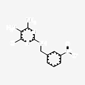 Nc1nc(NCc2cccc([N+](=O)[O-])c2)nc(Cl)c1N